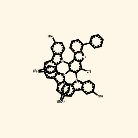 CC(C)(C)c1ccc2c(c1)c1cc(C(C)(C)C)ccc1n2-c1c(-n2c3ccc(C(C)(C)C)cc3c3cc(C(C)(C)C)ccc32)c(-n2c3ccc(C(C)(C)C)cc3c3cc(C(C)(C)C)ccc32)c2c(oc3c(-c4ccccc4)cccc32)c1C#N